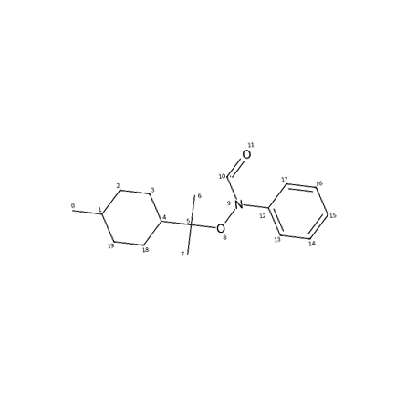 CC1CCC(C(C)(C)ON([C]=O)c2ccccc2)CC1